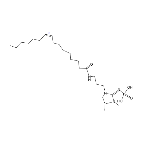 CCCCCC/C=C\CCCCCCCC(=O)NCCCN1CC(C)N(C)C1=NP(=O)(O)O